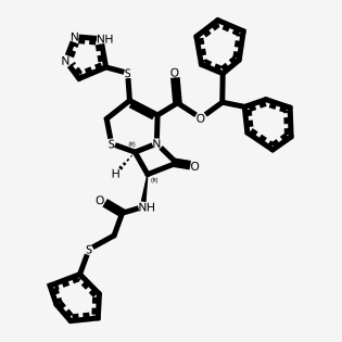 O=C(CSc1ccccc1)N[C@@H]1C(=O)N2C(C(=O)OC(c3ccccc3)c3ccccc3)=C(Sc3cnn[nH]3)CS[C@H]12